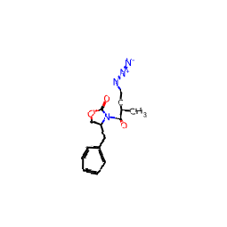 CC(CCN=[N+]=[N-])C(=O)N1C(=O)OCC1Cc1ccccc1